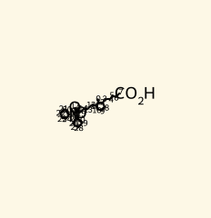 Cc1c(CCCCC(=O)O)cccc1CCCOC(=O)N(c1ccccc1)c1ccccc1